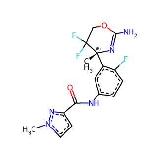 Cn1ccc(C(=O)Nc2ccc(F)c([C@@]3(C)N=C(N)OCC3(F)F)c2)n1